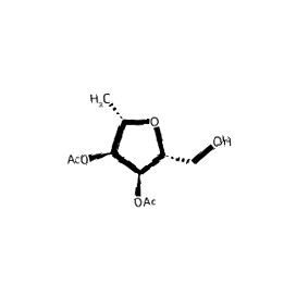 CC(=O)O[C@@H]1[C@H](OC(C)=O)[C@@H](CO)O[C@H]1C